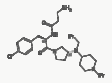 CC(C)CN(C1CCN(C(C)C)CC1)[C@@H]1CCN(C(=O)[C@@H](Cc2ccc(Cl)cc2)NC(=O)CCN)C1